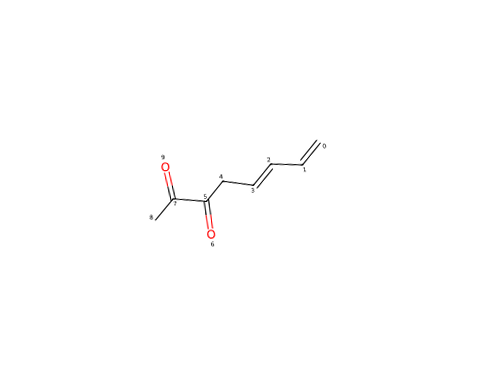 C=CC=CCC(=O)C(C)=O